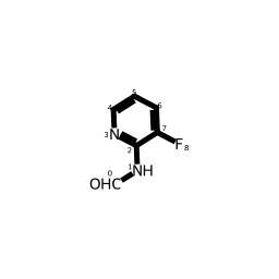 O=CNc1nc[c]cc1F